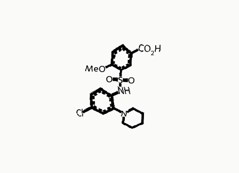 COc1ccc(C(=O)O)cc1S(=O)(=O)Nc1ccc(Cl)cc1N1CCCCC1